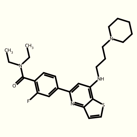 CCN(CC)C(=O)c1ccc(-c2cc(NCCCN3CCCCC3)c3sccc3n2)cc1F